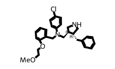 COCCOc1ccccc1CN(C[C@H]1CNC[C@@H]1Cc1ccccc1)c1ccc(Cl)cc1